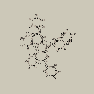 c1ccc(-c2cc3c(c4ccccc24)c2c4ccccc4c(-c4ccccc4)cc2n3-c2ccc3nccnc3c2)cc1